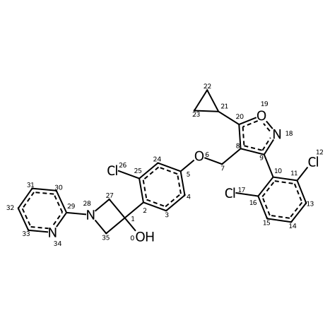 OC1(c2ccc(OCc3c(-c4c(Cl)cccc4Cl)noc3C3CC3)cc2Cl)CN(c2ccccn2)C1